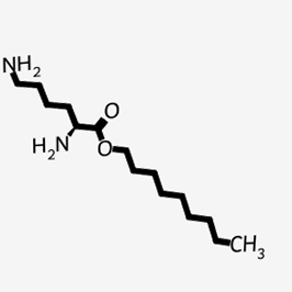 CCCCCCCCCOC(=O)[C@@H](N)CCCCN